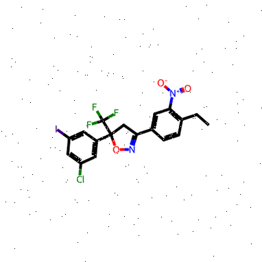 CCc1ccc(C2=NOC(c3cc(Cl)cc(I)c3)(C(F)(F)F)C2)cc1[N+](=O)[O-]